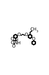 CCCc1cc(Oc2ccccc2)ccc1OCCCOc1cccc(C2(F)NC(=O)OC2=O)c1